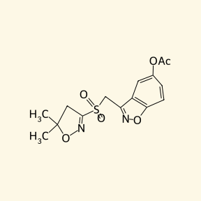 CC(=O)Oc1ccc2onc(CS(=O)(=O)C3=NOC(C)(C)C3)c2c1